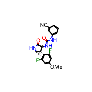 COc1cc(F)c([C@@H]2CNC(=O)[C@H]2NC(=O)Nc2cccc(C#N)c2)c(F)c1